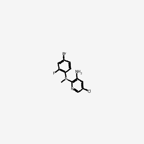 CN(c1ccc(Br)cc1F)c1ncc(Cl)cc1N